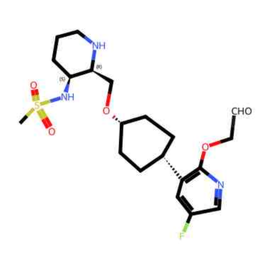 CS(=O)(=O)N[C@H]1CCCN[C@H]1CO[C@H]1CC[C@@H](c2cc(F)cnc2OCC=O)CC1